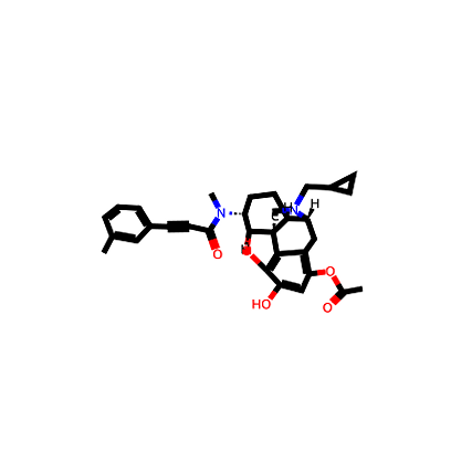 CC(=O)Oc1cc(O)c2c3c1C[C@@H]1[C@@H]4CC[C@@H](N(C)C(=O)C#Cc5cccc(C)c5)[C@H](O2)[C@]34CCN1CC1CC1